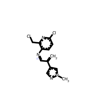 C=C(/C=N\c1ccc(Cl)nc1CCl)c1cnn(C)c1